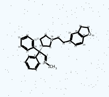 C/N=C/C(c1ccccc1)(c1ccccc1)[C@@H]1CCN(CCc2ccc3c(c2)CCO3)C1